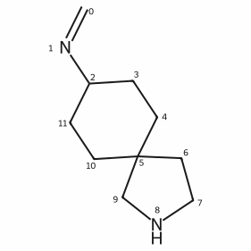 C=NC1CCC2(CCNC2)CC1